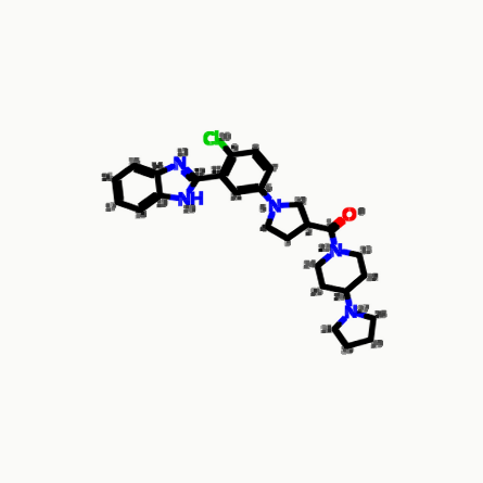 O=C(C1CCN(c2ccc(Cl)c(-c3nc4ccccc4[nH]3)c2)C1)N1CCC(N2CCCC2)CC1